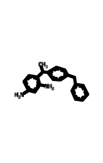 CC(c1ccc(Cc2ccccc2)cc1)c1ccc(N)cc1N